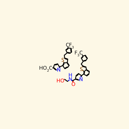 O=C(NCCO)c1ccc(-c2cccc3cc(Cc4cccc(C(F)(F)F)c4)sc23)nc1.O=C(O)c1ccc(-c2cccc3cc(Cc4cccc(C(F)(F)F)c4)sc23)nc1